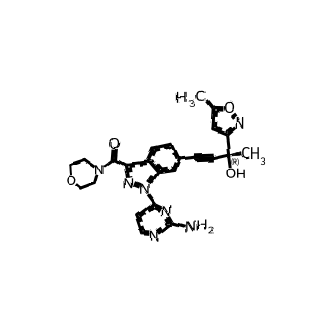 Cc1cc([C@](C)(O)C#Cc2ccc3c(C(=O)N4CCOCC4)nn(-c4ccnc(N)n4)c3c2)no1